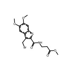 COC(=O)CCNC(=O)c1sc2cc(OC)c(OC)cc2c1CBr